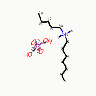 CCCCCCC[N+](C)(C)CCCCC.O=P([O-])(O)O